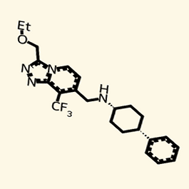 CCOCc1nnc2c(C(F)(F)F)c(CN[C@H]3CC[C@@H](c4ccccc4)CC3)ccn12